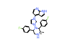 C[C@H]1NCC(c2ccc(F)cc2)N(N2C=CN(c3ccnc4[nH]ccc34)C2)C1c1ccc(F)cc1